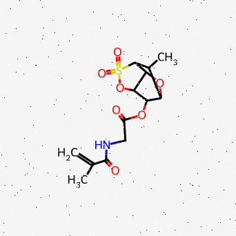 C=C(C)C(=O)NCC(=O)OC1C2OC3C1OS(=O)(=O)C3C2C